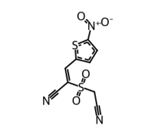 N#CCS(=O)(=O)/C(C#N)=C\c1ccc([N+](=O)[O-])s1